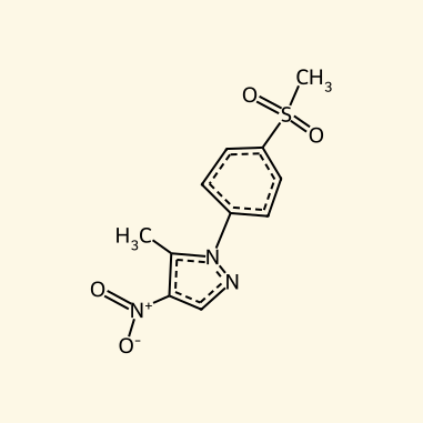 Cc1c([N+](=O)[O-])cnn1-c1ccc(S(C)(=O)=O)cc1